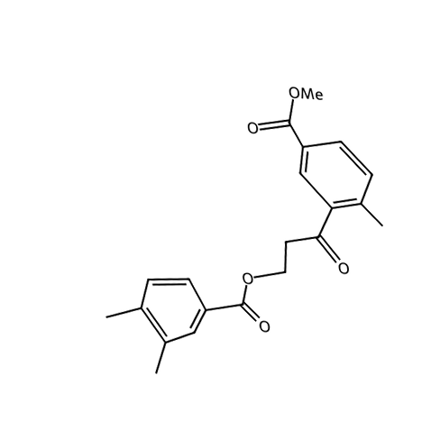 COC(=O)c1ccc(C)c(C(=O)CCOC(=O)c2ccc(C)c(C)c2)c1